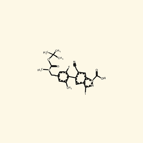 Cc1cc(CN(C)C(=O)OC(C)(C)C)cc(F)c1-c1cc2c(I)nn(C(=O)O)c2cc1C#N